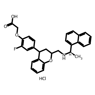 C[C@@H](NCC1CC(c2ccc(OCC(=O)O)c(F)c2)c2ccccc2O1)c1cccc2ccccc12.Cl